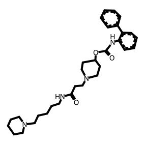 O=C(CCN1CCC(OC(=O)Nc2ccccc2-c2ccccc2)CC1)NCCCCCN1CCCCC1